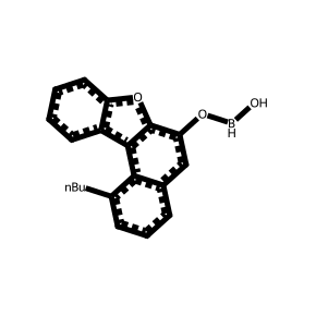 CCCCc1cccc2cc(OBO)c3oc4ccccc4c3c12